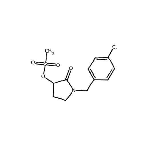 CS(=O)(=O)OC1CCN(Cc2ccc(Cl)cc2)C1=O